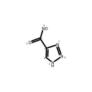 O=NC(=O)c1c[nH]nn1